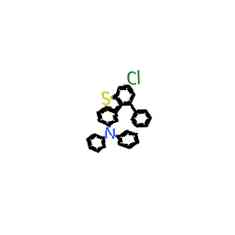 Clc1cc(-c2ccccc2)c2c(c1)sc1ccc(N(c3ccccc3)c3ccccc3)cc12